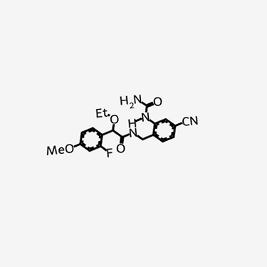 CCOC(C(=O)NCc1ccc(C#N)cc1N(C)C(N)=O)c1ccc(OC)cc1F